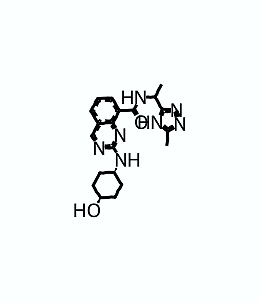 Cc1nnc(C(C)NC(=O)c2cccc3cnc(N[C@H]4CC[C@H](O)CC4)nc23)[nH]1